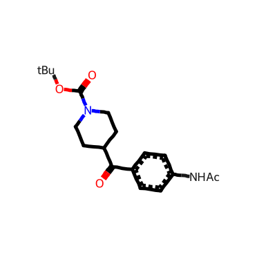 CC(=O)Nc1ccc(C(=O)C2CCN(C(=O)OC(C)(C)C)CC2)cc1